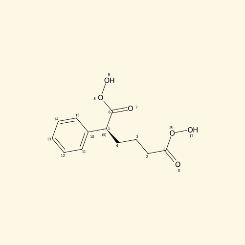 O=C(CCC[C@H](C(=O)OO)c1ccccc1)OO